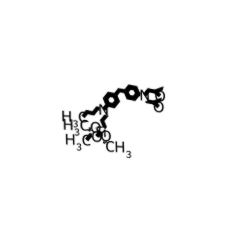 CCCCN(CCC[Si](OCC)(OCC)OCC)c1ccc(Cc2ccc(N(CC3CO3)CC3CO3)cc2)cc1